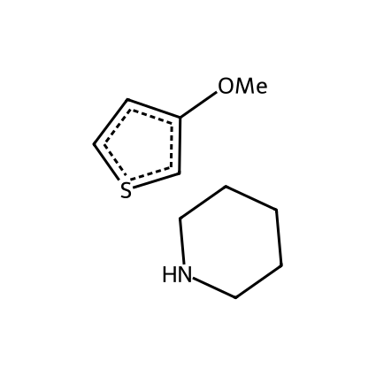 C1CCNCC1.COc1ccsc1